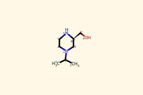 CC(C)N1CCN[C@@H](CO)C1